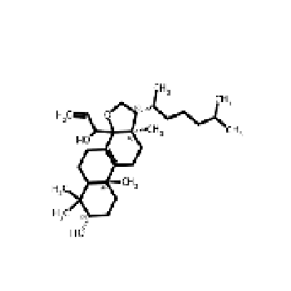 C=CC(O)C12OC[C@H](C(C)CCCC(C)C)[C@@]1(C)CCC1=C2CCC2C(C)(C)[C@@H](O)CC[C@@]12C